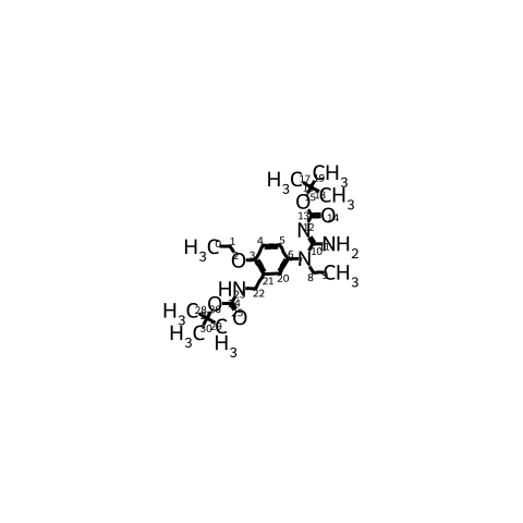 CCOc1ccc(N(CC)C(N)=NC(=O)OC(C)(C)C)cc1CNC(=O)OC(C)(C)C